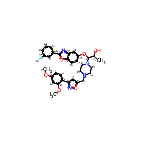 COc1ccc(-c2cc(CN3CCN(C(Oc4ccc5oc(-c6cccc(F)c6)nc5c4)[C@H](C)O)CC3)on2)c(OC)c1